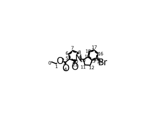 CCOC(=O)c1cccn(C2CCc3c(Br)cccc32)c1=O